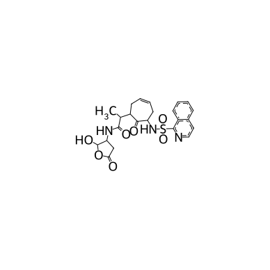 CC(C(=O)NC1CC(=O)OC1O)C1CC=CCC(NS(=O)(=O)c2nccc3ccccc23)C1=O